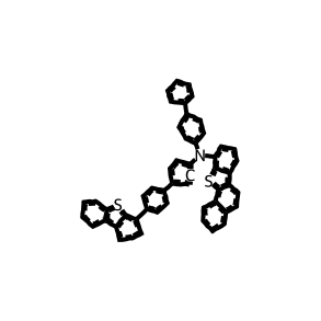 c1ccc(-c2ccc(N(c3ccc(-c4ccc(-c5cccc6c5sc5ccccc56)cc4)cc3)c3cccc4c3sc3c5ccccc5ccc43)cc2)cc1